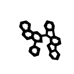 C1=CC2=Cc3c(ccc4c3C(c3cc5c(ccc6ccccc65)c(-c5ccccc5)n3)c3ccccc3-4)C2C=C1